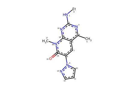 CCNc1nc(C)c2cc(-n3cccn3)c(=O)n(C)c2n1